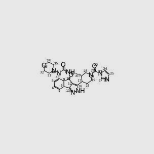 NC(=O)N(c1cccc2c1C(=O)c1c-2n[nH]c1C1CCN(C(=O)n2ccnc2)CC1)N1CCOCC1